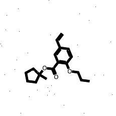 C=Cc1ccc(OCCC)c(C(=O)OC2(C)CCCC2)c1